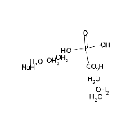 O.O.O.O.O.O.O=C(O)P(=O)(O)O.[NaH]